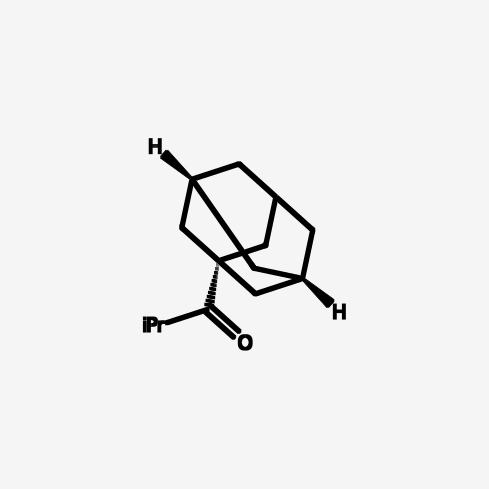 CC(C)C(=O)[C@]12CC3C[C@H](C[C@H](C3)C1)C2